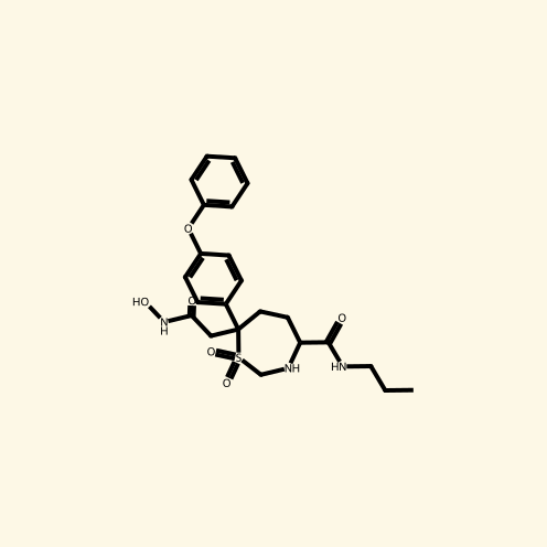 CCCNC(=O)C1CCC(CC(=O)NO)(c2ccc(Oc3ccccc3)cc2)S(=O)(=O)CN1